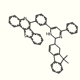 CC1(C)C2=C(C=CC(C3N=C(c4ccccc4)C=C(c4cccc(-c5nc6ccccc6c6sc7ccccc7c56)c4)N3)C2)c2ccccc21